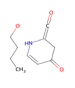 CCCC[O].O=C=C1CC(=O)C=CN1